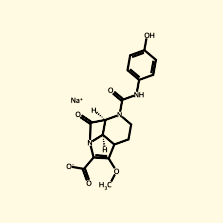 COC1=C(C(=O)[O-])N2C(=O)[C@@H]3[C@H]2C1CCN3C(=O)Nc1ccc(O)cc1.[Na+]